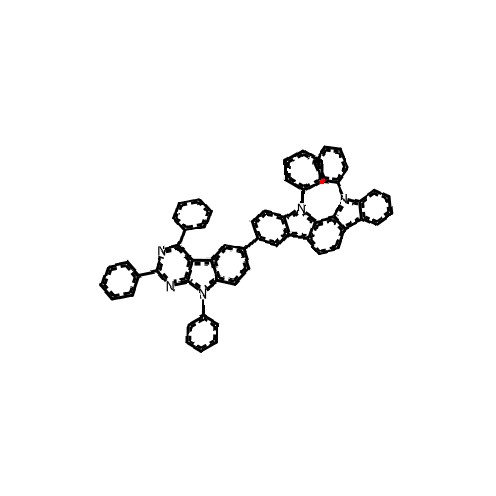 c1ccc(-c2nc(-c3ccccc3)c3c4cc(-c5ccc6c(c5)c5ccc7c8ccccc8n(-c8ccccc8)c7c5n6-c5ccccc5)ccc4n(-c4ccccc4)c3n2)cc1